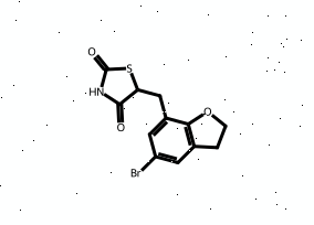 O=C1NC(=O)C(Cc2cc(Br)cc3c2OCC3)S1